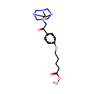 COC(=O)CCCCOc1ccc(C(=O)C[N+]23CN4CN(CN(C4)C2)C3)cc1